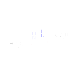 O=C(O)CC(=O)NCNC(=O)CC(=O)O